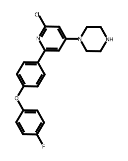 Fc1ccc(Oc2ccc(-c3cc(N4CCNCC4)cc(Cl)n3)cc2)cc1